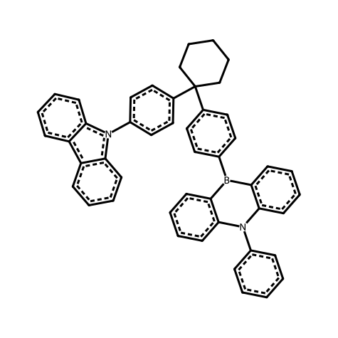 c1ccc(N2c3ccccc3B(c3ccc(C4(c5ccc(-n6c7ccccc7c7ccccc76)cc5)CCCCC4)cc3)c3ccccc32)cc1